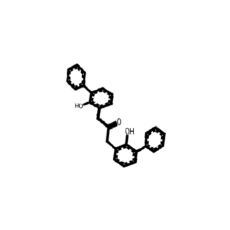 O=C(Cc1cccc(-c2ccccc2)c1O)Cc1cccc(-c2ccccc2)c1O